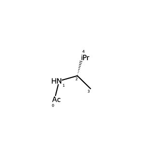 CC(=O)N[C@@H](C)C(C)C